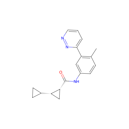 Cc1ccc(NC(=O)[C@@H]2C[C@@H]2C2CC2)cc1-c1cccnn1